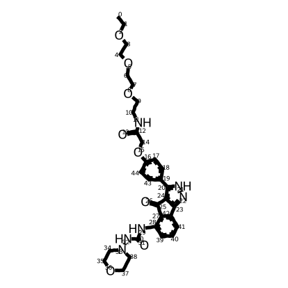 CCOCCOCCOCCNC(=O)COc1ccc(-c2[nH]nc3c2C(=O)c2c(NC(=O)NN4CCOCC4)cccc2-3)cc1